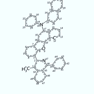 Cc1c(-c2cccc3c2oc2c4ccccc4c(N(c4ccccc4)c4ccc5ccccc5c4)cc32)nc(-c2ccccc2)c2ccccc12